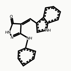 O=C1NN=C(Nc2ccccc2)C1=Cc1c[nH]c2ccccc12